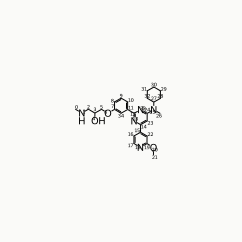 CNCC(O)COc1cccc(-c2nc(-c3ccnc(OC)c3)cc(N(C)C3CCCCC3)n2)c1